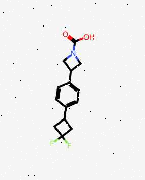 O=C(O)N1CC(c2ccc(C3CC(F)(F)C3)cc2)C1